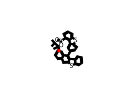 CC1(C)OB(c2cccc3sc4ccc(-c5c6ccccc6cc6sc7ccccc7c56)cc4c23)OC1(C)C